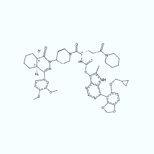 COc1ccc(C2=NN(C3CCN(C(=O)[C@H](CCC(=O)N4CCCCC4)NC(=O)Oc4c(C)[nH]c5c(-c6c(OCC7CC7)ccc7c6OCO7)ncnc45)CC3)C(=O)[C@@H]3CCCC[C@H]23)cc1OC